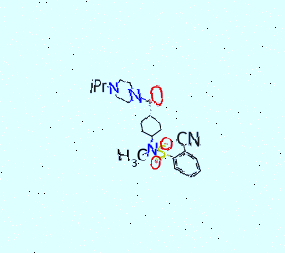 CC(C)N1CCN(C(=O)[C@H]2CC[C@H](N(C)S(=O)(=O)c3ccccc3C#N)CC2)CC1